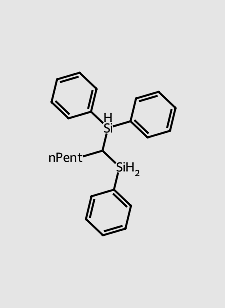 CCCCCC([SiH2]c1ccccc1)[SiH](c1ccccc1)c1ccccc1